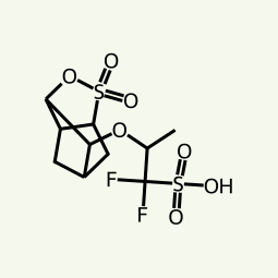 CC(OC1C2CC3C1OS(=O)(=O)C3C2)C(F)(F)S(=O)(=O)O